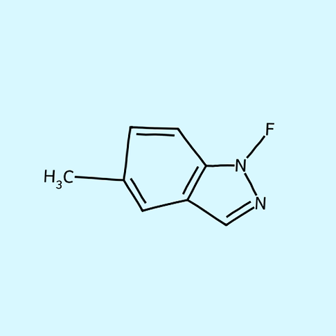 Cc1ccc2c(cnn2F)c1